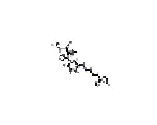 COC(=O)CCC/C=C/c1cccc(C(=O)NC(C)CO)c1